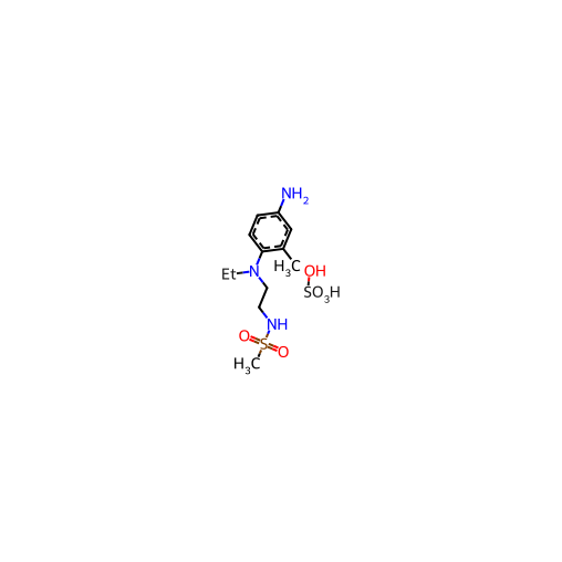 CCN(CCNS(C)(=O)=O)c1ccc(N)cc1C.O=S(=O)(O)O